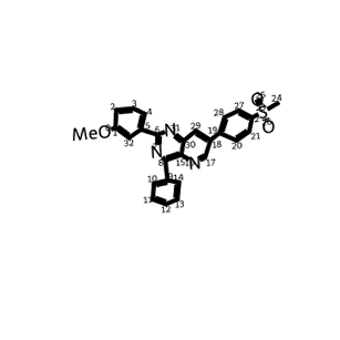 COc1cccc(-c2nc(-c3ccccc3)c3ncc(-c4ccc(S(C)(=O)=O)cc4)cc3n2)c1